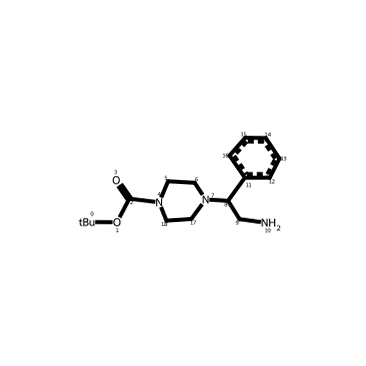 CC(C)(C)OC(=O)N1CCN(C(CN)c2ccccc2)CC1